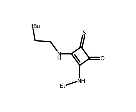 CCNc1c(NCCC(C)(C)C)c(=S)c1=O